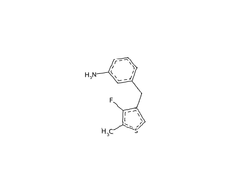 Cc1scc(Cc2cccc(N)c2)c1F